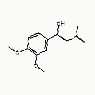 COc1ccc(C(O)CC(C)C)cc1OC